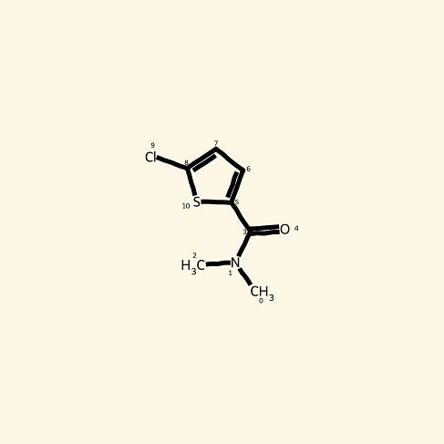 CN(C)C(=O)c1ccc(Cl)s1